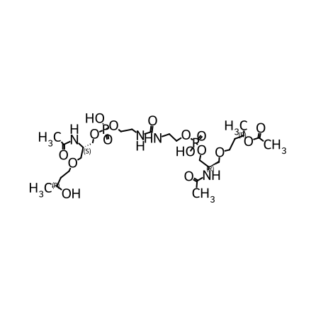 CC(=O)N[C@H](COCC[C@@H](C)OC(C)=O)COP(=O)(O)OCCNC(=O)NCCOP(=O)(O)OC[C@H](COCC[C@@H](C)O)NC(C)=O